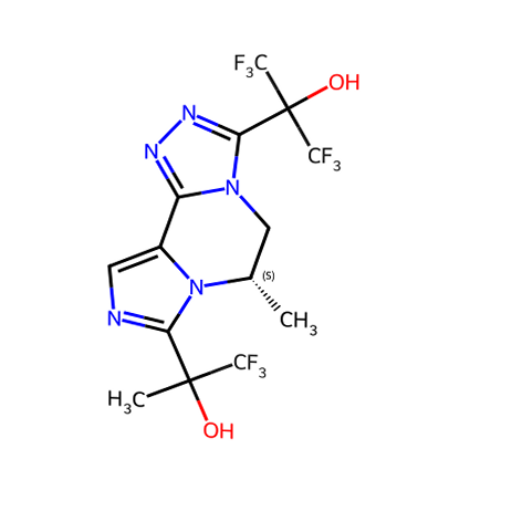 C[C@H]1Cn2c(nnc2C(O)(C(F)(F)F)C(F)(F)F)-c2cnc(C(C)(O)C(F)(F)F)n21